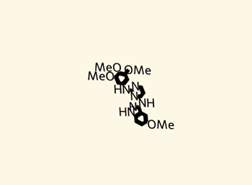 COc1ccc2[nH]nc(Nc3ccnc(Nc4cc(OC)c(OC)c(OC)c4)n3)c2c1